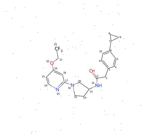 O=C(Cc1ccc(C2CC2)cc1)NC1CCN(c2cc(OCC(F)(F)F)ccn2)C1